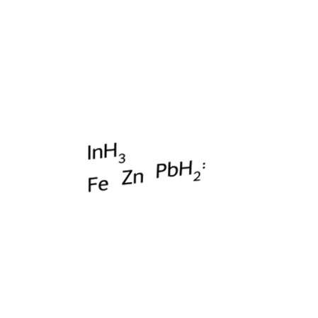 [Fe].[InH3].[PbH2].[Zn]